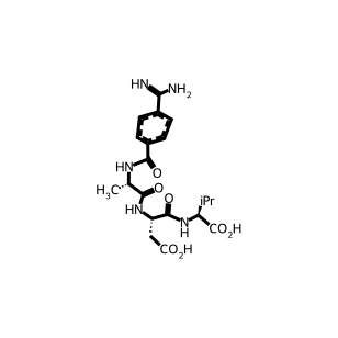 CC(C)[C@H](NC(=O)[C@H](CC(=O)O)NC(=O)[C@H](C)NC(=O)c1ccc(C(=N)N)cc1)C(=O)O